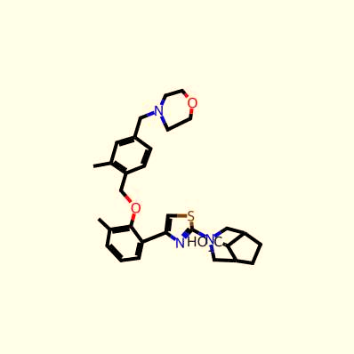 Cc1cc(CN2CCOCC2)ccc1COc1c(C)cccc1-c1csc(N2CC3CCC(C2)C3C(=O)O)n1